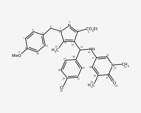 CCOC(=O)c1nn(Cc2ccc(OC)cc2)c(C)c1C(Nc1cc(C)c(=O)n(C)c1)c1ccc(Cl)cc1